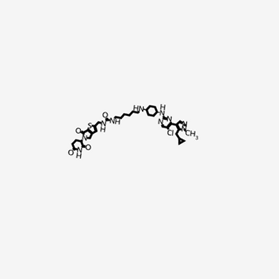 Cn1ncc(-c2nc(N[C@H]3CC[C@H](NCCCCCCNC(=O)NCc4cc5c(s4)C(=O)N(C4CCC(=O)NC4=O)C5)CC3)ncc2Cl)c1CC1CC1